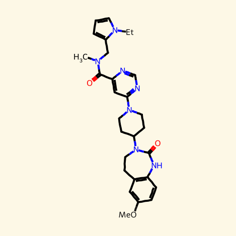 CCn1cccc1CN(C)C(=O)c1cc(N2CCC(N3CCc4cc(OC)ccc4NC3=O)CC2)ncn1